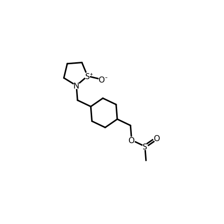 CS(=O)OCC1CCC(CN2CCC[S+]2[O-])CC1